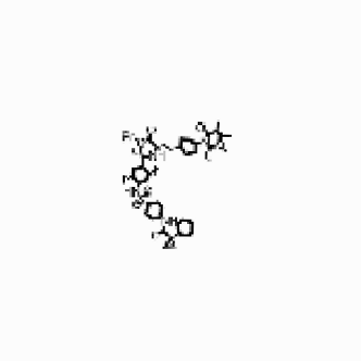 Cc1c(C)n(C)c(=O)n(-c2ccc(CC[C@H](NC(=O)c3cc(F)c(NS(=O)(=O)c4ccc(NC(=O)C5(c6ccccc6)CC5)cc4)cc3F)C(=O)OC(C)C)cc2)c1=O